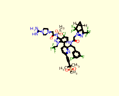 CC(C)(C#Cc1ccc(-c2ccc(Cl)c3c(N(C(=O)CN4CCN(C(=N)N)CC4)S(C)(=O)=O)nn(CC(F)(F)F)c23)c(C(Cc2cc(F)cc(F)c2)NC(=O)Cn2nc(C(F)(F)F)c3c2C(F)(F)[C@@H]2C[C@H]32)n1)S(C)(=O)=O